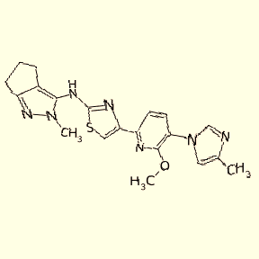 COc1nc(-c2csc(Nc3c4c(nn3C)CCC4)n2)ccc1-n1cnc(C)c1